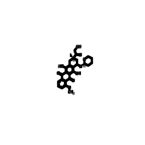 COc1cccc2c1C(=O)c1c(O)c3c(c(O)c1C2=O)C[C@@](I)(C(=O)CO)CC3O[C@H]1CCCCO1